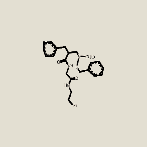 CC(C)CCNC(=O)CNC(=O)C(Cc1ccccc1)CN(C=O)OCc1ccccc1